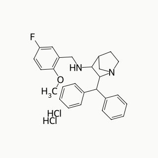 COc1ccc(F)cc1CNC1C2CCN(C2)C1C(c1ccccc1)c1ccccc1.Cl.Cl